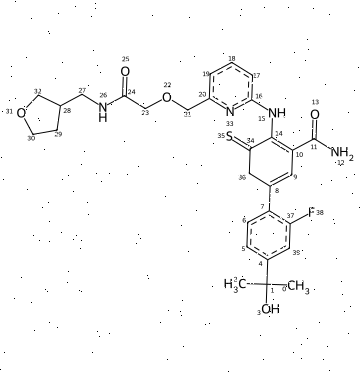 CC(C)(O)c1ccc(C2=CC(C(N)=O)=C(Nc3cccc(COCC(=O)NCC4CCOC4)n3)C(=S)C2)c(F)c1